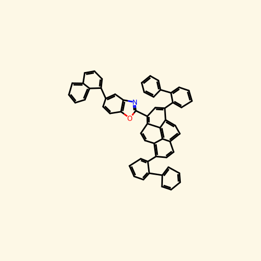 c1ccc(-c2ccccc2-c2ccc3ccc4c(-c5ccccc5-c5ccccc5)cc(-c5nc6cc(-c7cccc8ccccc78)ccc6o5)c5ccc2c3c54)cc1